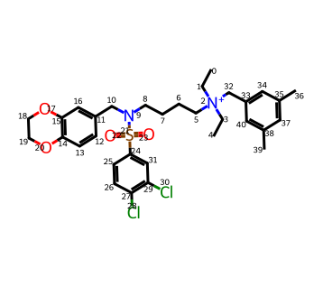 CC[N+](CC)(CCCCN(Cc1ccc2c(c1)OCCO2)S(=O)(=O)c1ccc(Cl)c(Cl)c1)Cc1cc(C)cc(C)c1